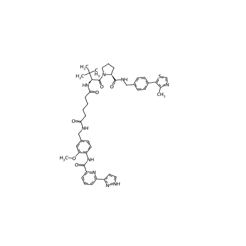 COc1cc(CNC(=O)CCCCC(=O)N[C@H](C(=O)N2CCC[C@H]2C(=O)NCc2ccc(-c3scnc3C)cc2)C(C)(C)C)ccc1NC(=O)c1cccc(-c2cc[nH]n2)n1